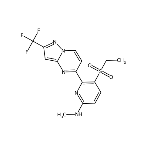 CCS(=O)(=O)c1ccc(NC)nc1-c1ccn2nc(C(F)(F)F)cc2n1